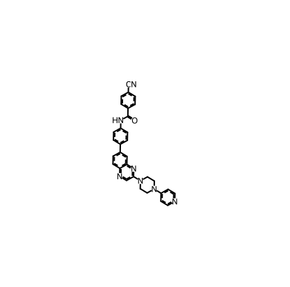 N#Cc1ccc(C(=O)Nc2ccc(-c3ccc4ncc(N5CCN(c6ccncc6)CC5)nc4c3)cc2)cc1